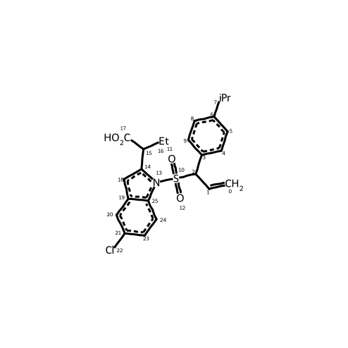 C=CC(c1ccc(C(C)C)cc1)S(=O)(=O)n1c(C(CC)C(=O)O)cc2cc(Cl)ccc21